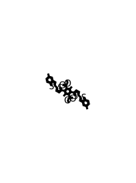 COC(=O)c1c(C)c(-c2ccc(-c3cc4cc(C)ccc4s3)s2)c(C(=O)OC)c(C)c1-c1ccc(-c2cc3cc(C)ccc3s2)s1